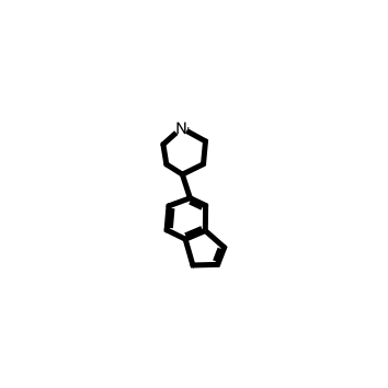 C1=Cc2cc(C3CC[N]CC3)ccc2C1